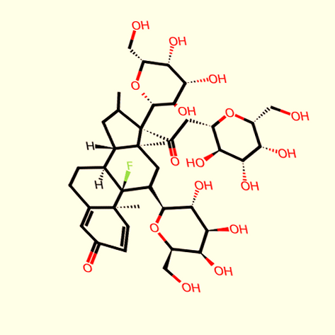 CC1C[C@H]2[C@@H]3CCC4=CC(=O)C=C[C@]4(C)[C@@]3(F)C([C@@H]3O[C@H](CO)[C@H](O)[C@H](O)[C@H]3O)C[C@]2(C)[C@]1(C(=O)C[C@@H]1O[C@H](CO)[C@H](O)[C@H](O)[C@H]1O)[C@@H]1O[C@H](CO)[C@H](O)[C@H](O)[C@H]1O